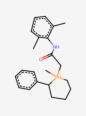 Cc1cccc(C)c1NC(=O)C[PH]1(C)CCCCC1c1ccccc1